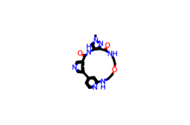 Cn1cc2c(n1)C(=O)NCCOCCNc1cc(ccn1)-c1cncc(c1)C(=O)N2